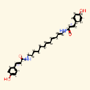 O=C(/C=C/c1ccc(O)cc1)NCCCCCCCCCCCCNC(=O)/C=C/c1ccc(O)cc1